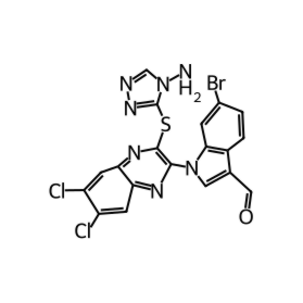 Nn1cnnc1Sc1nc2cc(Cl)c(Cl)cc2nc1-n1cc(C=O)c2ccc(Br)cc21